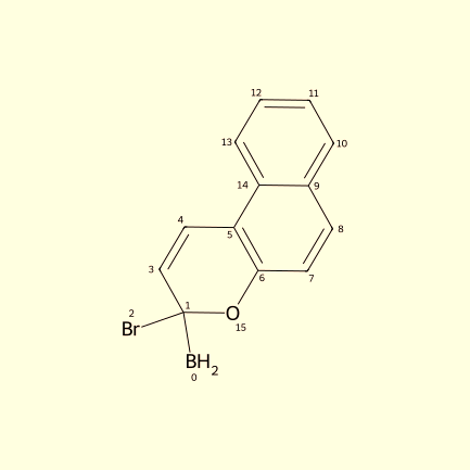 BC1(Br)C=Cc2c(ccc3ccccc23)O1